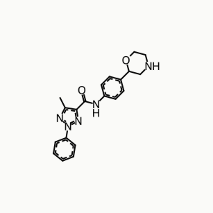 Cc1nn(-c2ccccc2)nc1C(=O)Nc1ccc(C2CNCCO2)cc1